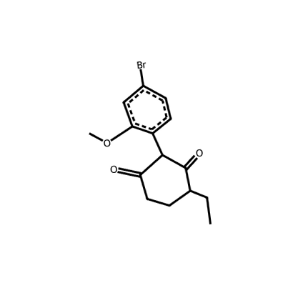 CCC1CCC(=O)C(c2ccc(Br)cc2OC)C1=O